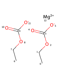 CCOC(=O)[O-].CCOC(=O)[O-].[Mg+2]